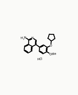 COc1ccc(-c2cnc(N)c3ccccc23)cc1OC1CCCC1.Cl